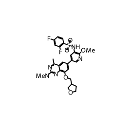 CNc1nc(C)c2cc(-c3cnc(OC)c(NS(=O)(=O)c4ccc(F)cc4F)c3)cc(OCC3CCOC3)c2n1